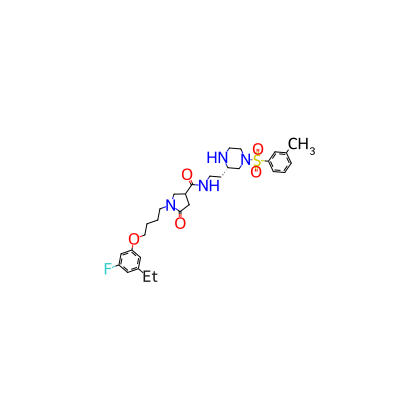 CCc1cc(F)cc(OCCCCN2CC(C(=O)NCC[C@H]3CN(S(=O)(=O)c4cccc(C)c4)CCN3)CC2=O)c1